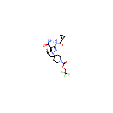 N#CCC1(n2cc(C(N)=O)c(NC(=O)C3CC3)n2)CCN(C(=O)OCC(F)(F)F)CC1